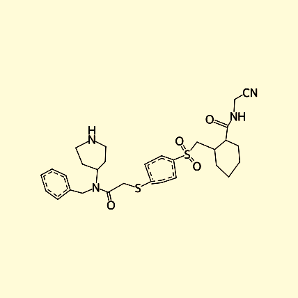 N#CCNC(=O)C1CCCCC1CS(=O)(=O)c1ccc(SCC(=O)N(Cc2ccccc2)C2CCNCC2)cc1